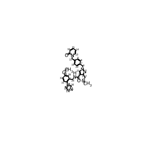 COCc1nn(Cc2ccc(Cn3ccccc3=O)cc2)cc1C(=O)NCc1cc(OC)ccc1-n1cnnn1